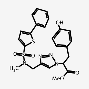 COC(=O)C(Cc1ccc(O)cc1)n1cc(CN(C)S(=O)(=O)c2ccc(-c3ccccc3)s2)nn1